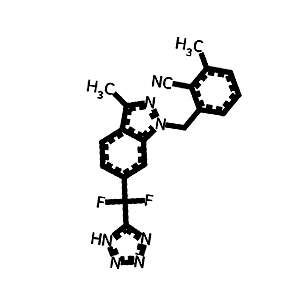 Cc1cccc(Cn2nc(C)c3ccc(C(F)(F)c4nnn[nH]4)cc32)c1C#N